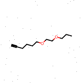 C#CCCCCOCCOCCC